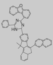 CC1(C)C2=C3C=CC=CC3CC(c3ccc4ccccc4c3)=C2c2ccc(C3N=C(c4cccc5oc6ccccc6c45)N=C(c4ccccc4)N3)cc21